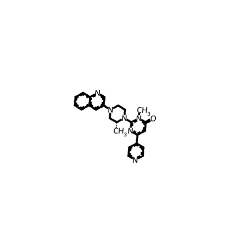 C[C@@H]1CN(c2cnc3ccccc3c2)CCN1c1nc(-c2ccncc2)cc(=O)n1C